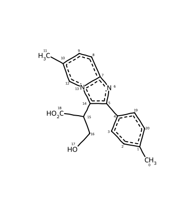 Cc1ccc(-c2nc3ccc(C)cn3c2C(CO)C(=O)O)cc1